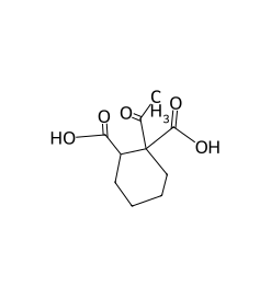 CC(=O)C1(C(=O)O)CCCCC1C(=O)O